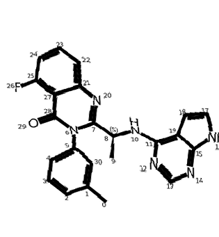 Cc1cccc(-n2c([C@H](C)Nc3ncnc4[nH]ccc34)nc3cccc(F)c3c2=O)c1